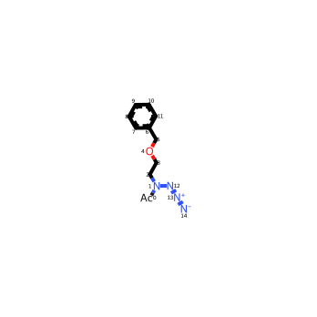 CC(=O)N(CCOCc1ccccc1)N=[N+]=[N-]